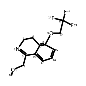 COCC1=NCCc2c(OCC(F)(F)F)cccc21